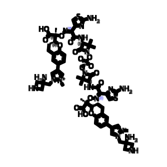 C[n+]1cc(-c2ccc3c(c2)CC[C@H]([C@](C)(O/N=C(\C(=O)N[C@@H]2C(=O)N(OS(=O)(=O)ON4C(=O)[C@@H](NC(=O)/C(=N\O[C@](C)(C(=O)O)[C@H]5CCc6cc(-c7cn(CC8(N)CNC8)[n+](C)c7)ccc6O5)c5csc(N)n5)C4(C)C)C2(C)C)c2csc(N)n2)C(=O)O)O3)cn1CC1(N)CNC1